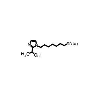 CCCCCCCCCCCCCCCCn1ccnc1C(C)O